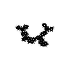 c1ccc(-c2nc(-c3ccccc3)nc(-c3ccc4cc(-n5c6ccc(-c7ccc8c(ccc9ccc%10c(ccc%11c%10c%10ccccc%10n%11-c%10cccc%11c(-c%12nc(-c%13ccccc%13)nc(-c%13ccccc%13)n%12)cccc%10%11)c98)c7)cc6c6c7ccc8ccc9ccccc9c8c7ccc65)ccc4c3)n2)cc1